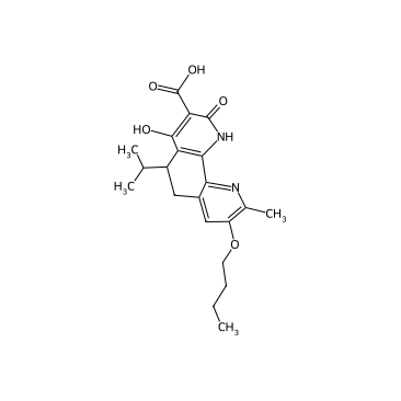 CCCCOc1cc2c(nc1C)-c1[nH]c(=O)c(C(=O)O)c(O)c1C(C(C)C)C2